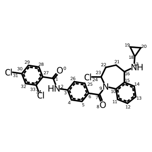 O=C(Nc1ccc(C(=O)N2c3ccccc3C(NC3CC3)CCC2Cl)cc1)c1ccc(Cl)cc1Cl